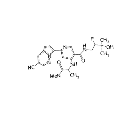 CNC(=O)C(C)Nc1cc(-c2ccc3cc(C#N)cnn23)ncc1C(=O)NCC(F)C(C)(C)O